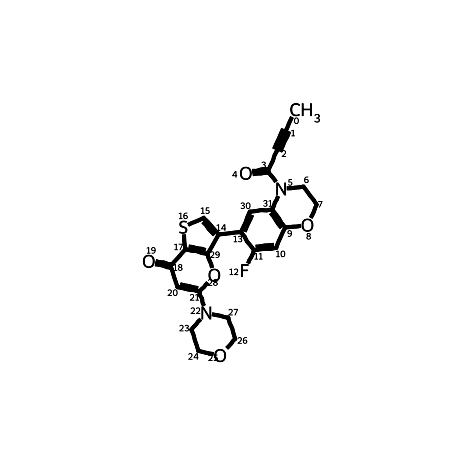 CC#CC(=O)N1CCOc2cc(F)c(-c3csc4c(=O)cc(N5CCOCC5)oc34)cc21